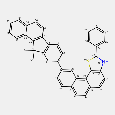 CC1(C)C2=C(C=CC(c3ccc4ccc5ccc6c(c5c4c3)SC(c3ccccc3)N6)C2)c2ccc3ccccc3c21